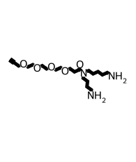 C#CCOCCOCCOCCOCCC(=O)N(CCCCN)CCCCCN